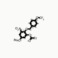 CCC(=O)Oc1cc(OC)cc([N+](=O)[O-])c1OCc1ccc(OC(F)(F)F)cc1